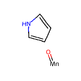 [O]=[Mn].c1cc[nH]c1